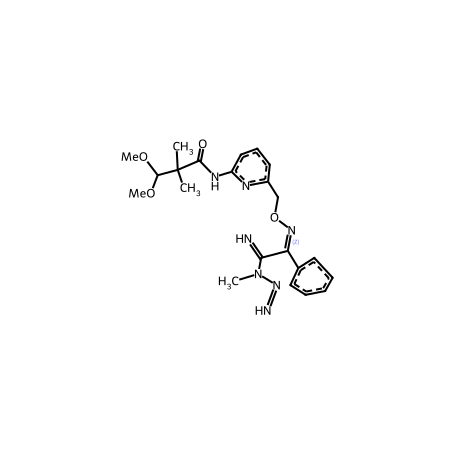 COC(OC)C(C)(C)C(=O)Nc1cccc(CO/N=C(\C(=N)N(C)N=N)c2ccccc2)n1